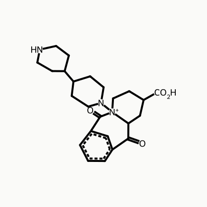 O=C(O)C1CC[N+]2(N3CCC(C4CCNCC4)CC3)C(=O)c3cccc(c3)C(=O)C2C1